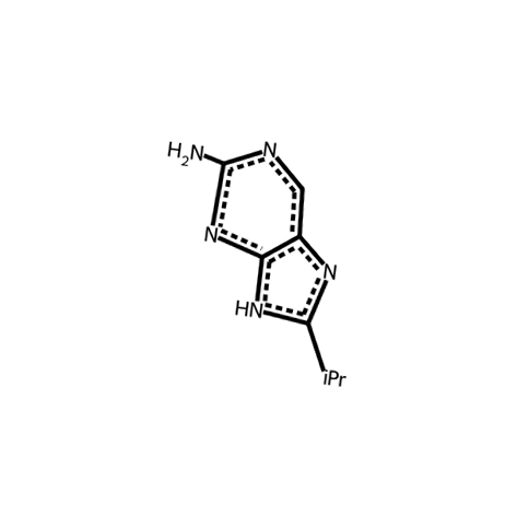 CC(C)c1nc2cnc(N)nc2[nH]1